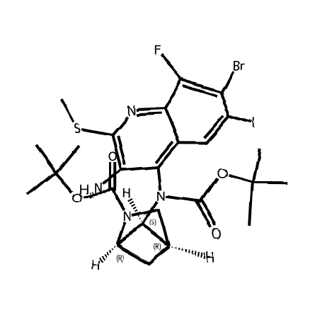 CSc1nc2c(F)c(Br)c(I)cc2c(N(C(=O)OC(C)(C)C)[C@H]2[C@@H]3C[C@H]2N(C(=O)OC(C)(C)C)C3)c1N